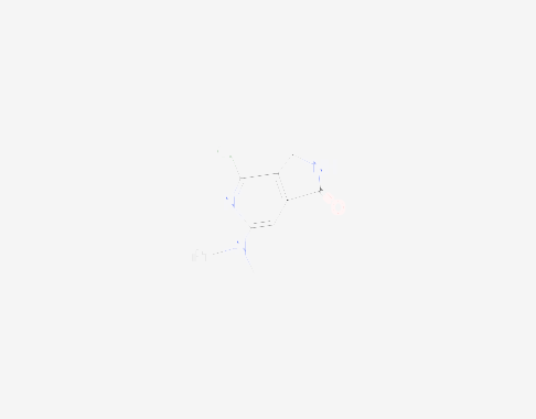 CC(C)N(C)c1cc2c(c(Cl)n1)CNC2=O